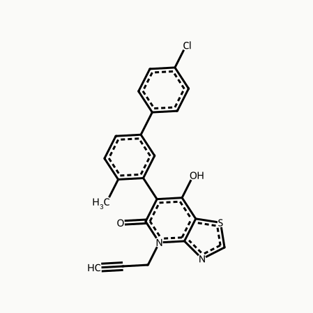 C#CCn1c(=O)c(-c2cc(-c3ccc(Cl)cc3)ccc2C)c(O)c2scnc21